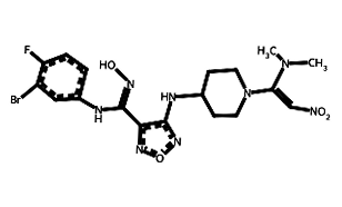 CN(C)C(=C[N+](=O)[O-])N1CCC(Nc2nonc2C(=NO)Nc2ccc(F)c(Br)c2)CC1